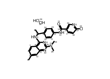 Cc1ccc2c(NC(C)c3ccc(NC(=O)c4ccc(Cl)nc4)cc3)nc(N(C)C)nc2c1.Cl.Cl